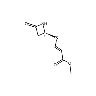 COC(=O)C=CS[C@H]1CC(=O)N1